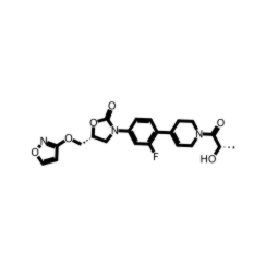 C[C@H](O)C(=O)N1CC=C(c2ccc(N3C[C@H](COc4ccon4)OC3=O)cc2F)CC1